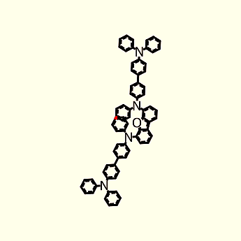 c1ccc(N(c2ccccc2)c2ccc(-c3ccc(N(c4ccccc4)c4cccc5c4oc4c(N(c6ccccc6)c6ccc(-c7ccc(N(c8ccccc8)c8ccccc8)cc7)cc6)cccc45)cc3)cc2)cc1